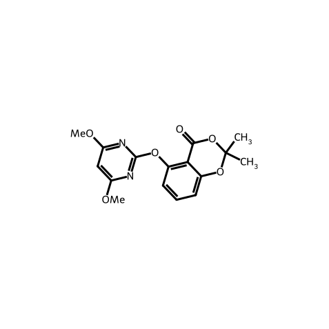 COc1cc(OC)nc(Oc2cccc3c2C(=O)OC(C)(C)O3)n1